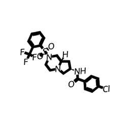 O=C(N[C@H]1C[C@H]2CN(S(=O)(=O)c3ccccc3C(F)(F)F)CCN2C1)c1ccc(Cl)cc1